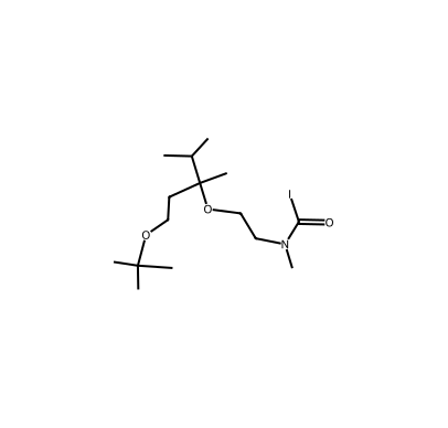 CC(C)C(C)(CCOC(C)(C)C)OCCN(C)C(=O)I